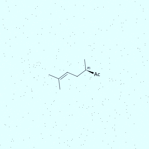 CC(=O)[C@H](C)CC=C(C)C